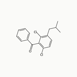 CC(C)Cc1ccc(Cl)c(C(=O)c2ccccc2)c1Cl